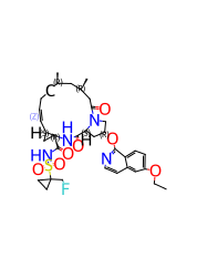 CCOc1ccc2c(O[C@@H]3C[C@H]4C(=O)N[C@]5(C(=O)NS(=O)(=O)C6(CF)CC6)C[C@H]5/C=C\CC[C@@H](C)C[C@@H](C)CC(=O)N4C3)nccc2c1